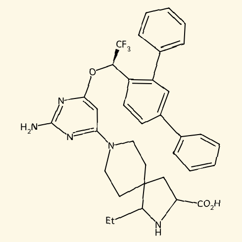 CCC1NC(C(=O)O)CC12CCN(c1cc(O[C@H](c3ccc(-c4ccccc4)cc3-c3ccccc3)C(F)(F)F)nc(N)n1)CC2